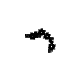 CC(C)N1CCN(CCNC2CCN(c3cccc(-c4cc5cc(C#N)ccc5[nH]4)c3)CC2)CC1